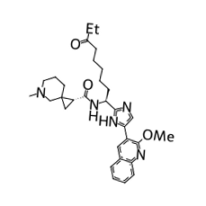 CCC(=O)CCCCC[C@H](NC(=O)[C@@H]1CC12CCCN(C)C2)c1ncc(-c2cc3ccccc3nc2OC)[nH]1